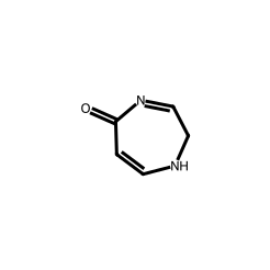 O=C1C=CNCC=N1